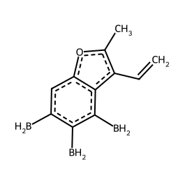 Bc1cc2oc(C)c(C=C)c2c(B)c1B